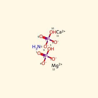 N.O=P([O-])([O-])O.O=P([O-])([O-])O.[Ca+2].[Mg+2]